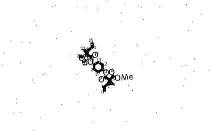 C=CC1CC1(C(=O)OC)C(=O)OC1CCC(OC(=O)[C]2([Co]([CH3])=[O])CC2C=C)CC1